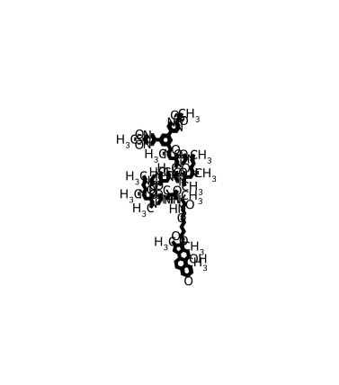 CC1CC2C3CCC4=CC(=O)C=CC4(C)C3C(O)CC2(C)C1OC(=O)CCCOCNC(=O)[C@H](C)NC(=O)[C@H](C)NC(=O)CN(C)C(=O)CN(C)C(=O)CN(C)C(=O)CN(C)C(=O)CN(C)C(=O)CN(C)C(=O)CN(C)C(=O)CN(C)C(=O)CN(C)C(=O)CN(C)C(=O)c1cc(-c2cnc(S(C)(=O)=O)nc2)cc(-c2cnc(S(C)(=O)=O)nc2)c1